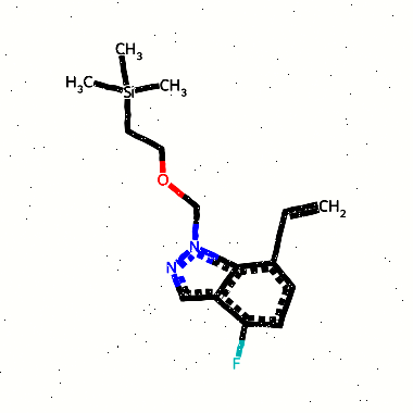 C=Cc1ccc(F)c2cnn(COCC[Si](C)(C)C)c12